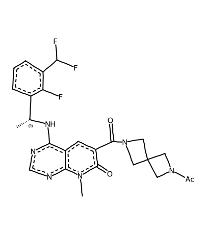 CC(=O)N1CC2(C1)CN(C(=O)c1cc3c(N[C@H](C)c4cccc(C(F)F)c4F)ncnc3n(C)c1=O)C2